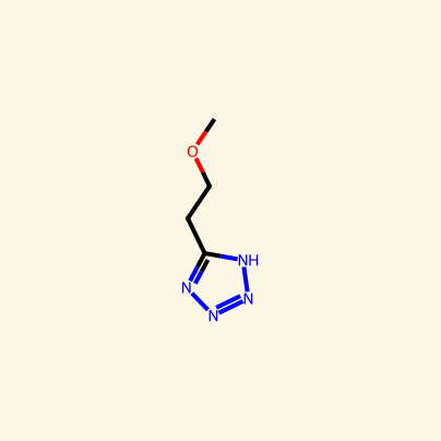 COCCc1nnn[nH]1